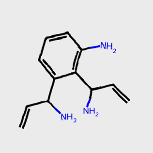 C=CC(N)c1cccc(N)c1C(N)C=C